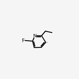 CCc1[c]ccc(F)n1